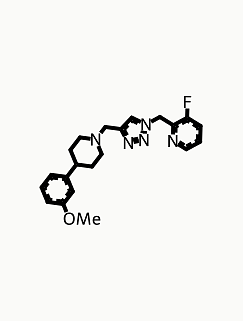 COc1cccc(C2CCN(Cc3cn(Cc4ncccc4F)nn3)CC2)c1